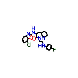 O=C(NCCNc1ccc(F)cc1)C(CC1CCCCC1)Nc1nc2cccc(Cl)c2o1